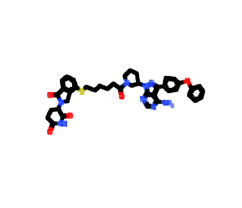 Nc1ncnc2c1c(-c1ccc(Oc3ccccc3)cc1)nn2C1CCCN(C(=O)CCCCCSc2cccc3c2CN(C2CCC(=O)NC2=O)C3=O)C1